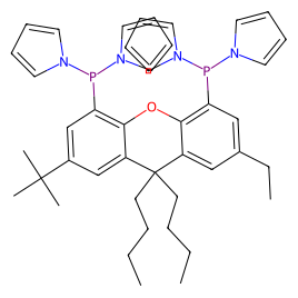 CCCCC1(CCCC)c2cc(CC)cc(P(n3cccc3)n3cccc3)c2Oc2c(P(n3cccc3)n3cccc3)cc(C(C)(C)C)cc21